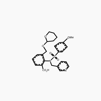 COc1ccc(S(=O)(=O)N(Cc2cccnc2)c2c(COC3CCCCO3)cccc2C(=O)O)cc1